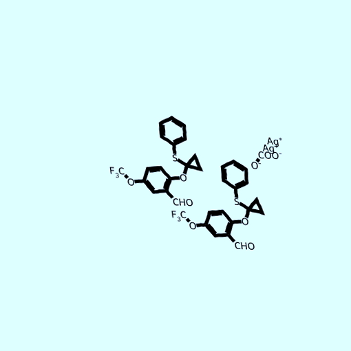 O=C([O-])[O-].O=Cc1cc(OC(F)(F)F)ccc1OC1(Sc2ccccc2)CC1.O=Cc1cc(OC(F)(F)F)ccc1OC1(Sc2ccccc2)CC1.[Ag+].[Ag+]